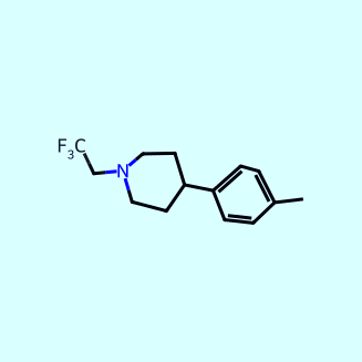 Cc1ccc(C2CCN(CC(F)(F)F)CC2)cc1